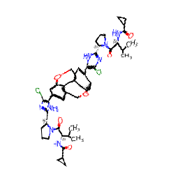 CC(C)[C@H](NC(=O)C1CC1)C(=O)N1CCC[C@H]1c1nc(Cl)c(-c2cc3c4c(c2)OCc2cc(-c5[nH]c([C@@H]6CCCN6C(=O)[C@@H](NC(=O)C6CC6)C(C)C)nc5Cl)cc(c2-4)OC3)[nH]1